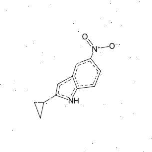 O=[N+]([O-])c1ccc2[nH]c(C3CC3)cc2c1